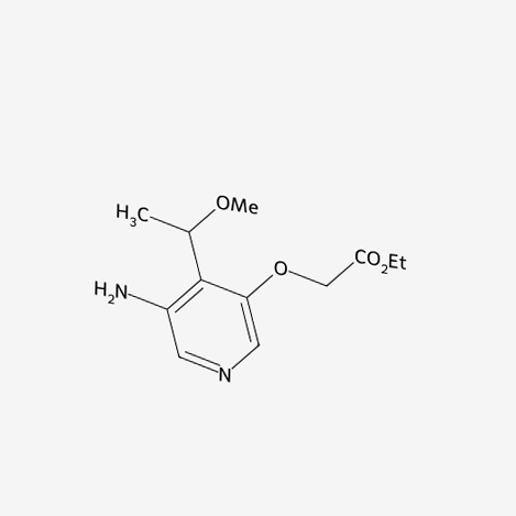 CCOC(=O)COc1cncc(N)c1C(C)OC